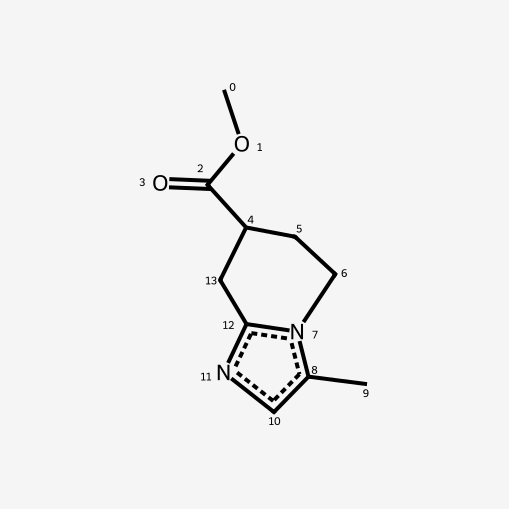 COC(=O)C1CCn2c(C)cnc2C1